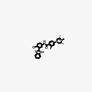 C[C@@H]1CN(c2ccc(C(=O)Nc3ccc(Cl)c(-c4nc5ccccc5[nH]4)c3)c(F)c2)C[C@H](C)N1C